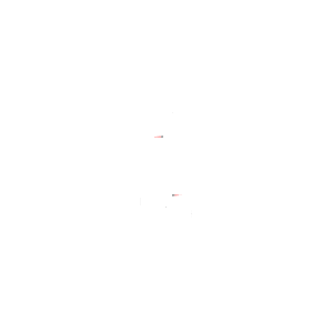 CCC(C)(C)C(=O)OCCOC(=O)C(C)(C)Br